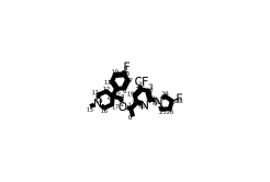 CC(OCC1(c2ccc(F)cc2)CCN(C)CC1)c1cc(C(F)(F)F)cc(N2CC[C@@H](F)C2)n1